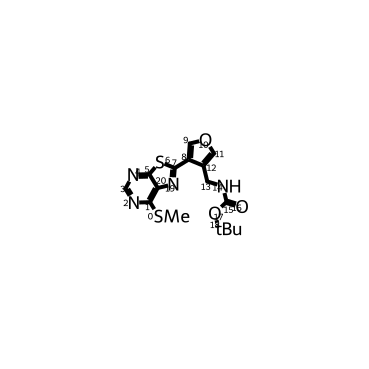 CSc1ncnc2sc(-c3cocc3CNC(=O)OC(C)(C)C)nc12